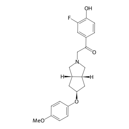 COc1ccc(O[C@H]2C[C@@H]3CN(CC(=O)c4ccc(O)c(F)c4)C[C@@H]3C2)cc1